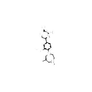 CC1CN(C)CCN(c2ccc(C3=NNC(=O)OC3)cc2C(F)(F)F)C1